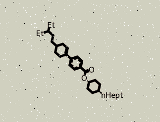 CCCCCCC[C@H]1CC[C@H](OC(=O)c2ccc(C3=CCC(CCC(CC)CC)CC3)cc2)CC1